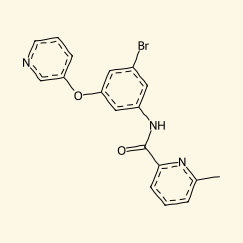 Cc1cccc(C(=O)Nc2cc(Br)cc(Oc3cccnc3)c2)n1